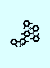 Cc1cc2c(cc1-c1cc(-c3ccccc3C)[n+](C)cc1C)B(c1c(C)cccc1C)c1ccccc1B2c1c(C)cccc1C